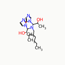 CCCCC(CC)CN(C(C(C)O)n1ccnc1)C(C(C)O)n1ccnc1